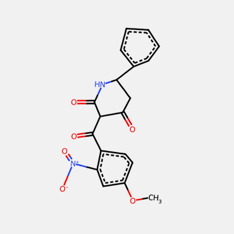 COc1ccc(C(=O)C2C(=O)CC(c3ccccc3)NC2=O)c([N+](=O)[O-])c1